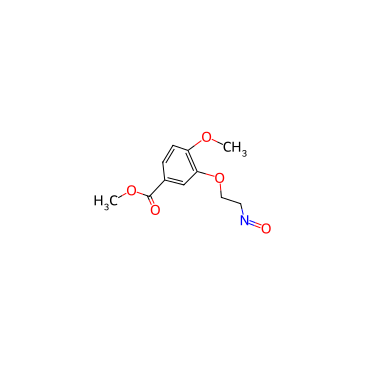 COC(=O)c1ccc(OC)c(OCCN=O)c1